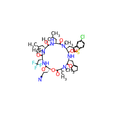 CC(C)C[C@@H]1NC(=O)[C@H](CC(C)C)N(C)C(=O)[C@H](CC(F)(F)F)NC(=O)[C@@H](CCC#N)OC(=O)[C@H](C)N(C)C(=O)[C@H](CC2=CCCC2)NC(O)[C@H](Cc2csc3ccc(Cl)cc23)N(C)C1=O